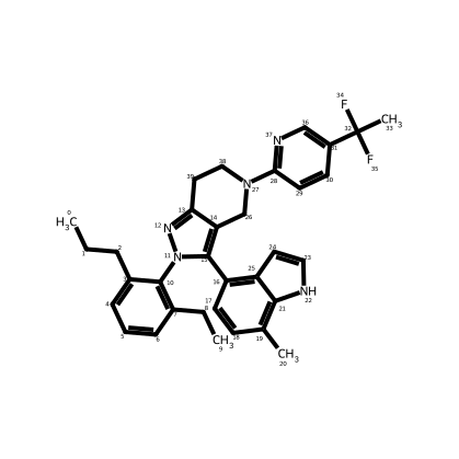 CCCc1cccc(CC)c1-n1nc2c(c1-c1ccc(C)c3[nH]ccc13)CN(c1ccc(C(C)(F)F)cn1)CC2